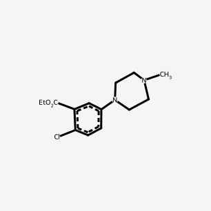 CCOC(=O)c1cc(N2CCN(C)CC2)ccc1Cl